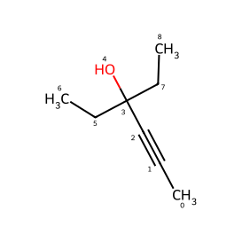 CC#CC(O)(CC)CC